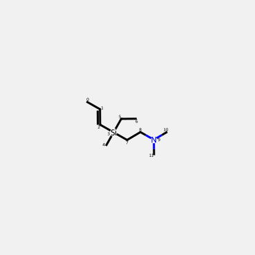 CC=C[Si](C)(CC)CCN(C)C